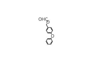 O=COCc1ccc(Oc2ccccc2)cc1